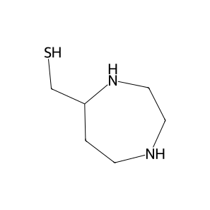 SCC1CCNCCN1